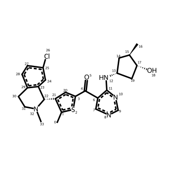 Cc1sc(C(=O)c2cncnc2N[C@@H]2C[C@@H](C)[C@H](O)C2)cc1[C@H]1c2cc(Cl)ccc2CCN1C